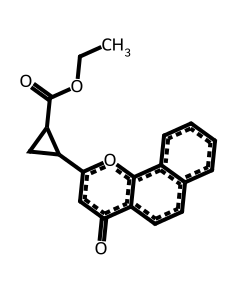 CCOC(=O)C1CC1c1cc(=O)c2ccc3ccccc3c2o1